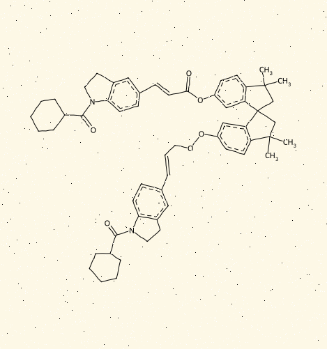 CC1(C)CC2(CC(C)(C)c3ccc(OC(=O)/C=C/c4ccc5c(c4)CCN5C(=O)C4CCCCC4)cc32)c2cc(OOC/C=C/c3ccc4c(c3)CCN4C(=O)C3CCCCC3)ccc21